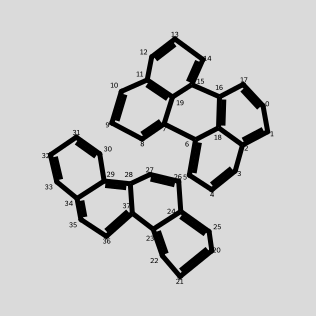 c1cc2cccc3c4cccc5cccc(c(c1)c23)c54.c1ccc2c(c1)ccc1c3ccccc3ccc21